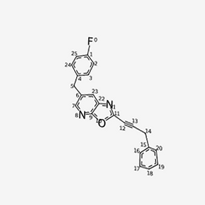 Fc1ccc(Cc2cnc3oc(C#CCc4ccccc4)nc3c2)cc1